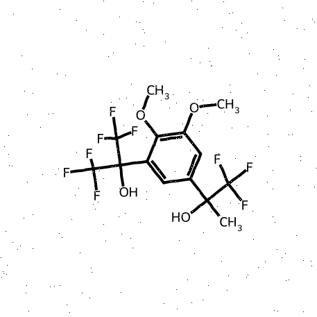 COc1cc(C(C)(O)C(F)(F)F)cc(C(O)(C(F)(F)F)C(F)(F)F)c1OC